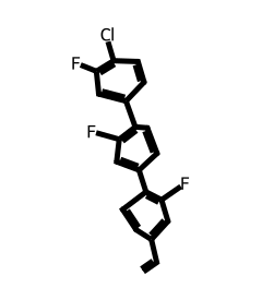 C=Cc1ccc(-c2ccc(-c3ccc(Cl)c(F)c3)c(F)c2)c(F)c1